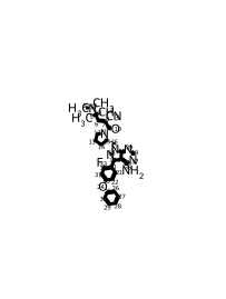 CN(C)C(C)(C)C=C(C#N)C(=O)N1CCC[C@H]1Cn1nc(-c2ccc(Oc3ccccc3)cc2F)c2c(N)ncnc21